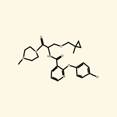 CN1CCN(C(=O)C(COCC2(C)CC2)NC(=O)c2cccnc2Oc2ccc(Cl)cc2)CC1